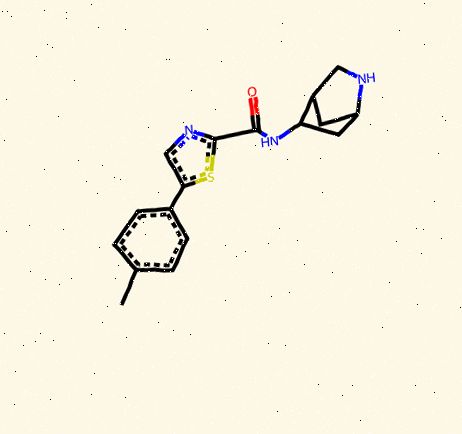 Cc1ccc(-c2cnc(C(=O)NC3CC4CC3CN4)s2)cc1